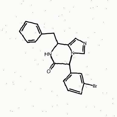 O=C1NC(Cc2ccccc2)c2cncn2C1c1cccc(Br)c1